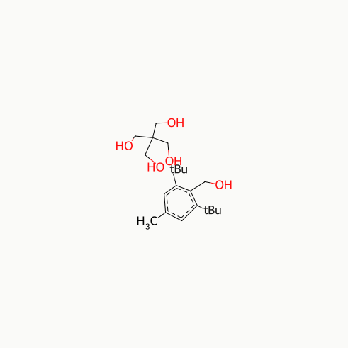 Cc1cc(C(C)(C)C)c(CO)c(C(C)(C)C)c1.OCC(CO)(CO)CO